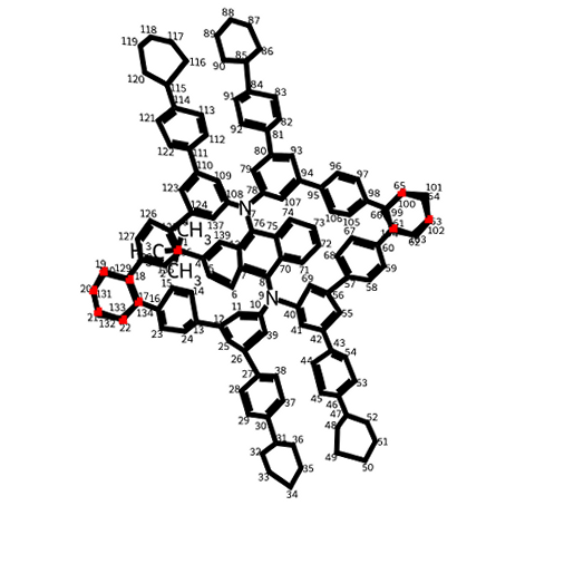 CC(C)(C)c1ccc2c(N(c3cc(-c4ccc(C5CCCCC5)cc4)cc(-c4ccc(C5CCCCC5)cc4)c3)c3cc(-c4ccc(C5CCCCC5)cc4)cc(-c4ccc(C5CCCCC5)cc4)c3)c3ccccc3c(N(c3cc(-c4ccc(C5CCCCC5)cc4)cc(-c4ccc(C5CCCCC5)cc4)c3)c3cc(-c4ccc(C5CCCCC5)cc4)cc(-c4ccc(C5CCCCC5)cc4)c3)c2c1